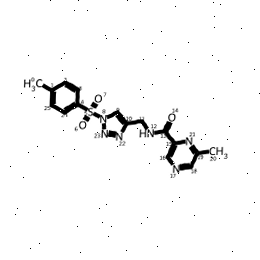 Cc1ccc(S(=O)(=O)n2cc(CNC(=O)c3cncc(C)n3)nn2)cc1